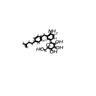 C=C(C)CCc1ccc(Cc2cc([C@@H]3O[C@H](CO)[C@@H](O)[C@H](O)[C@H]3O)ccc2N)cc1